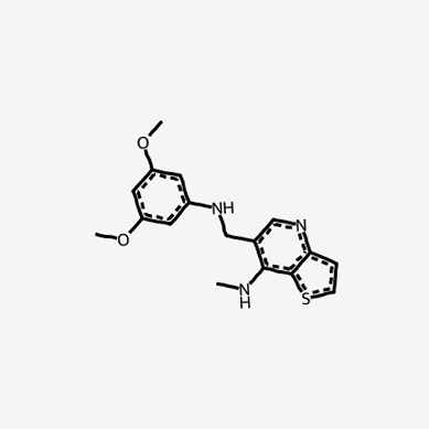 CNc1c(CNc2cc(OC)cc(OC)c2)cnc2ccsc12